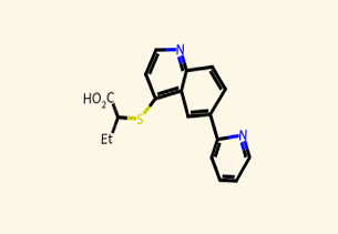 CCC(Sc1ccnc2ccc(-c3ccccn3)cc12)C(=O)O